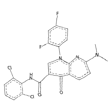 CN(C)c1ccc2c(=O)c(C(=O)Nc3c(Cl)cccc3Cl)cn(-c3ccc(F)cc3F)c2n1